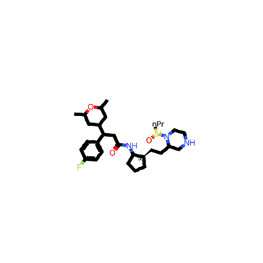 CCC[S+]([O-])N1CCNCC1CC[C@H]1CCCC1NC(=O)CC(c1ccc(F)cc1)C1CC(C)OC(C)C1